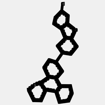 Clc1ccc2c(c1)oc1ccc(-c3ccc4c5ccccc5c5ccccc5c4c3)cc12